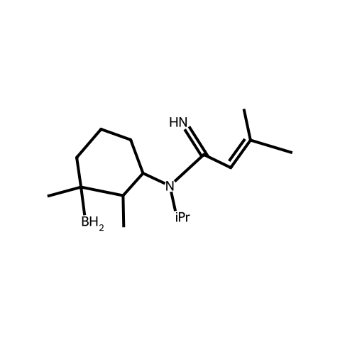 BC1(C)CCCC(N(C(=N)C=C(C)C)C(C)C)C1C